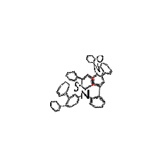 c1ccc(-c2ccc(N(c3ccccc3-c3ccc4c(c3)c3cccc5c3n4-c3ccccc3O5)c3cccc4c3sc3ccccc34)cc2-c2ccccc2)cc1